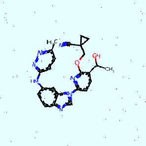 Cc1ccc(Nc2ccc3ncn(-c4ccc(C(C)O)c(OCC5(C#N)CC5)n4)c3c2)nn1